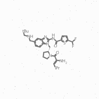 CC(C)/C=C(\N)C(=O)N1CCC[C@@H]1Cn1c(NC(=O)c2ccc(C(F)F)s2)nc2cc(CNCC(C)(C)C)ccc21